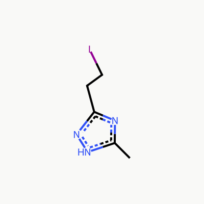 Cc1nc(CCI)n[nH]1